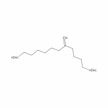 [CH]=C(CCCCCCCCCCCCCC)CCCCCCCCCCCCCCCC